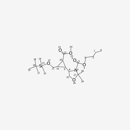 CCCCOC(=O)N1C(C2C(CO[Si](C)(C)C(C)(C)C)C2C(=O)OC)COC1(C)C